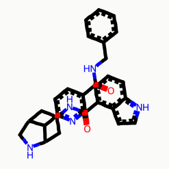 O=C(NCc1ccccc1)c1ccc(C2C3CNC2CC(NC(=O)c2cccc4[nH]ccc24)C3)nc1